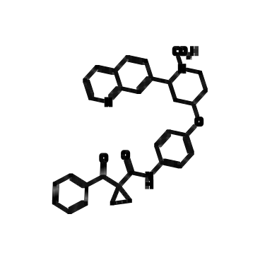 O=C(O)N1CCC(Oc2ccc(NC(=O)C3(C(=O)c4ccccc4)CC3)cc2)CC1c1ccc2cccnc2c1